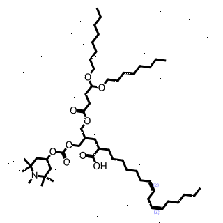 CCCCC/C=C\C/C=C\CCCCCCC(CC(COC(=O)CCC(OCCCCCCCC)OCCCCCCCC)COC(=O)OC1CC(C)(C)N(C)C(C)(C)C1)C(=O)O